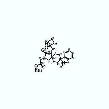 CN(C)[C@]1(c2ccccc2)CC[C@@]2(CC1)CN(CC(=O)OC(C)(C)C)C(=O)N2CC1(O)CCC1